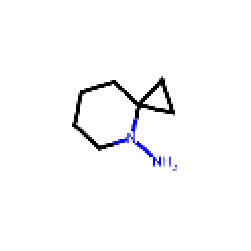 NN1CCCCC12CC2